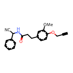 C#CCOc1ccc(CCC(=O)NC(C#N)c2ccccc2)cc1OC